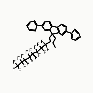 CCCC1(CCC(F)(F)C(F)(F)C(F)(F)C(F)(F)C(F)(F)C(F)(F)C(F)(F)C(F)(F)F)c2cc(-c3ccccc3)ccc2-c2ccc(-c3ccccc3)cc21